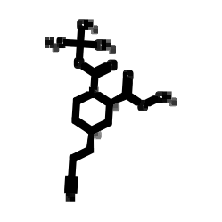 COC(=O)[C@H]1C[C@@H](CCC#N)CCN1C(=O)OC(C)(C)C